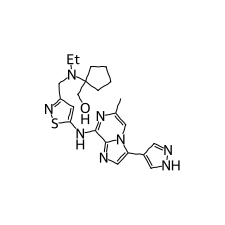 CCN(Cc1cc(Nc2nc(C)cn3c(-c4cn[nH]c4)cnc23)sn1)C1(CO)CCCC1